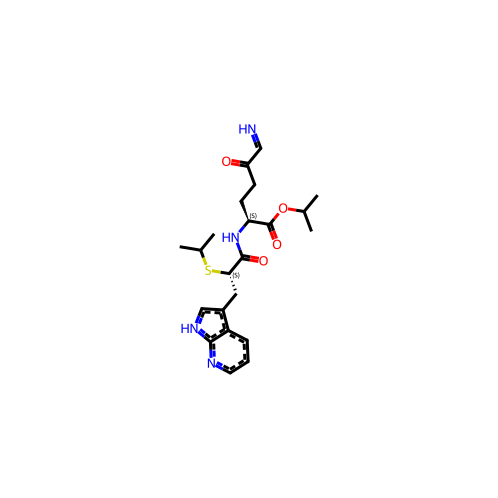 CC(C)OC(=O)[C@H](CCC(=O)C=N)NC(=O)[C@H](Cc1c[nH]c2ncccc12)SC(C)C